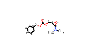 CN(C)C1OC1COC(=O)OCc1ccccc1